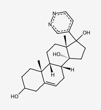 C[C@]12CCC(O)CC1=CC[C@@H]1[C@H]2CC[C@]2(C)C(O)(c3ccnnc3)CC[C@@]12O